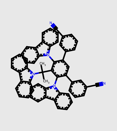 CC(C)(c1c(-n2c3ccccc3c3ccccc32)c(-c2cccc(C#N)c2)cc(-c2cccc(C#N)c2)c1-n1c2ccccc2c2ccccc21)n1c2ccccc2c2ccccc21